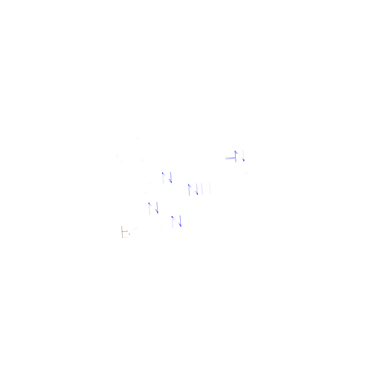 Brc1cnc2c(NCc3cccnc3)nc(-c3ccccc3)cn12